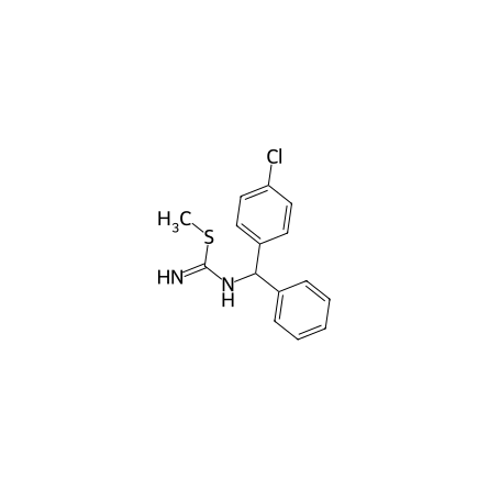 CSC(=N)NC(c1ccccc1)c1ccc(Cl)cc1